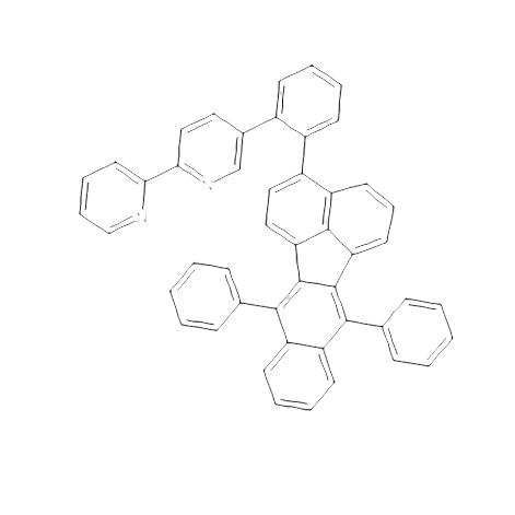 c1ccc(-c2c3c(c(-c4ccccc4)c4ccccc24)-c2ccc(-c4ccccc4-c4ccc(-c5ccccn5)nc4)c4cccc-3c24)cc1